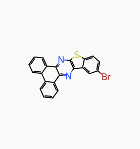 Brc1ccc2sc3nc4c5ccccc5c5ccccc5c4nc3c2c1